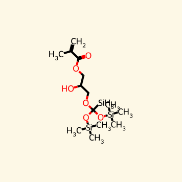 C=C(C)C(=O)OCC(O)COC([SiH3])(O[Si](C)(C)C)O[Si](C)(C)C